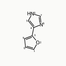 c1coc(-c2c[nH]cn2)c1